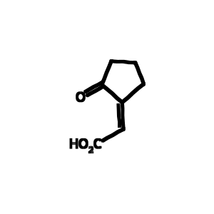 O=C(O)C=C1CCCC1=O